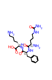 NCCCC[C@H](NC(=O)[C@H](Cc1ccccc1)NC(=O)[C@@H](N)CCCNC(N)=O)C(=O)O